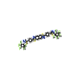 Fc1c(F)c(F)c(-c2ncc(-c3ccc(-c4nc5cc6cc7sc(-c8ccc(-c9cnc(-c%10c(F)c(F)c(F)c(F)c%10F)s9)cc8)nc7cc6cc5s4)cc3)s2)c(F)c1F